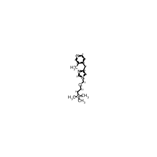 Cc1cnccc1Cc1cn(COCC[Si](C)(C)C)cn1